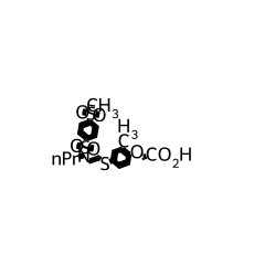 CCCN(CCSc1ccc(OCC(=O)O)c(C)c1)S(=O)(=O)c1ccc(S(C)(=O)=O)cc1